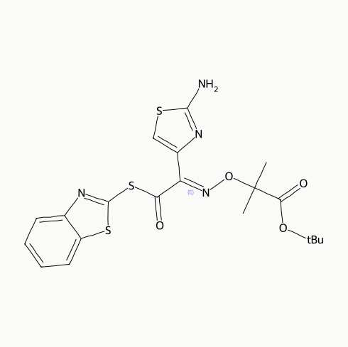 CC(C)(C)OC(=O)C(C)(C)O/N=C(/C(=O)Sc1nc2ccccc2s1)c1csc(N)n1